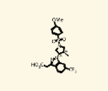 COc1ccc(S(=O)(=O)N2C[C@@H](C)[C@@H](n3nc(CC(=O)O)c4ccc(C(F)(F)F)cc43)C2)cc1